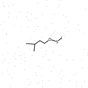 CC(C)CCOSI